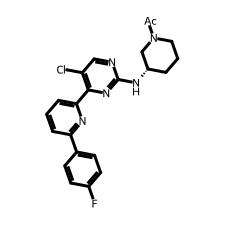 CC(=O)N1CCC[C@H](Nc2ncc(Cl)c(-c3cccc(-c4ccc(F)cc4)n3)n2)C1